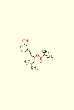 C=C(C)C(=O)OC(CCC1CCCC(O)C1)CC(C)C